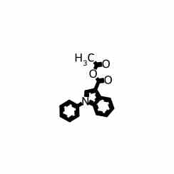 CC(=O)OC(=O)c1cn(-c2ccccc2)c2ccccc12